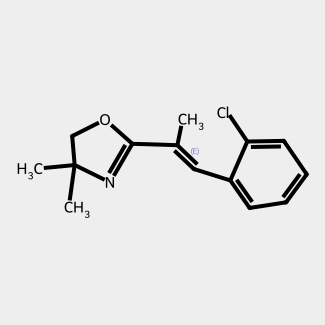 C/C(=C\c1ccccc1Cl)C1=NC(C)(C)CO1